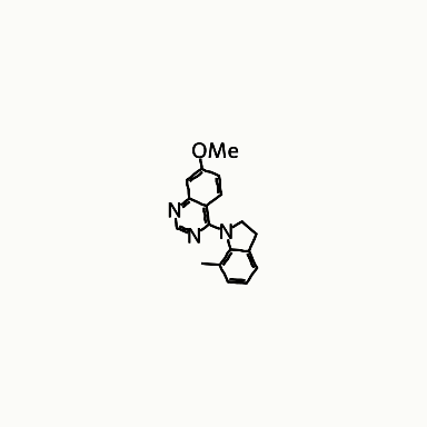 COc1ccc2c(N3CCc4cccc(C)c43)ncnc2c1